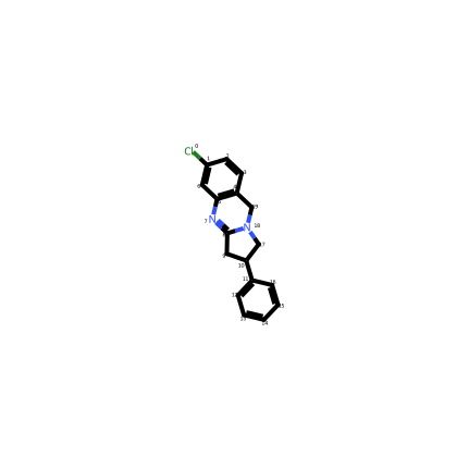 Clc1ccc2c(c1)N=C1CC(c3ccccc3)CN1C2